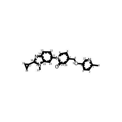 Cc1ccc(OCc2ccn(-c3ccc4nc(C5CC5)n(C)c4c3)c(=O)c2)cn1